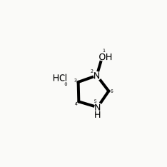 Cl.ON1CCNC1